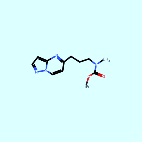 CC(C)OC(=O)N(C)CCCc1ccn2nccc2n1